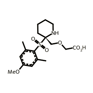 COc1cc(C)c(S(=O)(=O)[C@]2(COCC(=O)O)CCCCN2)c(C)c1